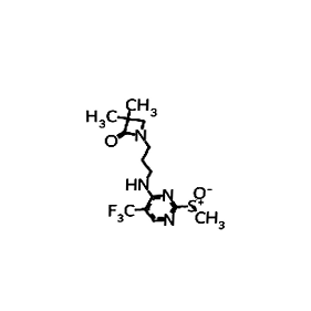 C[S+]([O-])c1ncc(C(F)(F)F)c(NCCCN2CC(C)(C)C2=O)n1